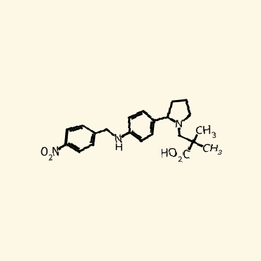 CC(C)(CN1CCCC1c1ccc(NCc2ccc([N+](=O)[O-])cc2)cc1)C(=O)O